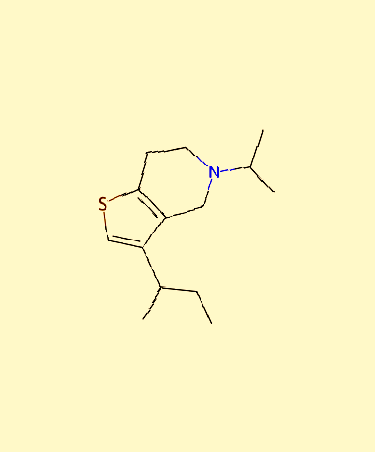 CCC(C)c1csc2c1CN(C(C)C)CC2